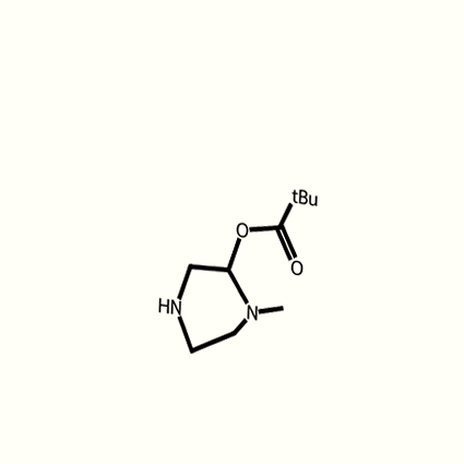 CN1CCNCC1OC(=O)C(C)(C)C